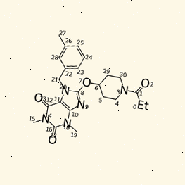 CCC(=O)N1CCC(Oc2nc3c(c(=O)n(C)c(=O)n3C)n2Cc2cccc(C)c2)CC1